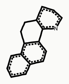 c1cnc2c(c1)CCc1c-2ccc2ccccc12